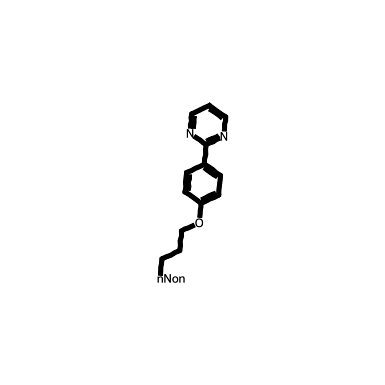 CCCCCCCCCCCCOc1ccc(-c2nc[c]cn2)cc1